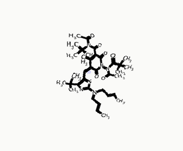 CCCCN(CCCC)c1nc(C(C)(C)C)c(/C=C2\C(=O)N(N(C(C)=O)C(=O)C(C)(C)C)C(=O)C(C(=O)N(C(C)=O)C(C)(C)C)=C2C)s1